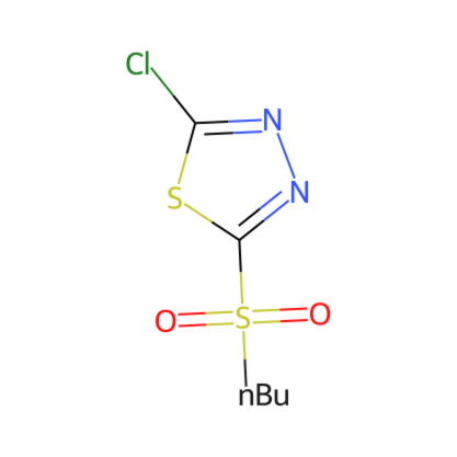 CCCCS(=O)(=O)c1nnc(Cl)s1